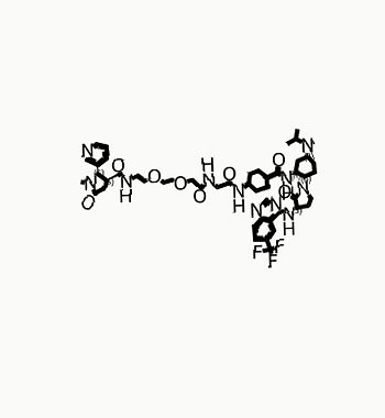 CC(C)N(C)[C@@H]1CC[C@H](N2CC[C@H](Nc3ncnc4ccc(C(F)(F)F)cc34)C2=O)[C@H](NC(=O)C2CCC(NC(=O)CNC(=O)COCCOCCNC(=O)[C@H]3CC(=O)N(C)[C@@H]3c3cccnc3)CC2)C1